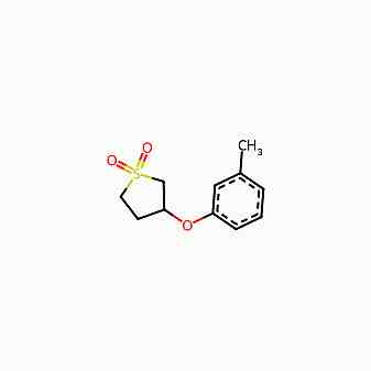 Cc1cccc(OC2CCS(=O)(=O)C2)c1